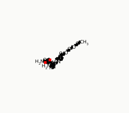 CCCOCCOCCOCCOCCC(=O)N1CCc2nc(Cn3nc(-c4ccc5oc(N)nc5c4)c4c(N)ncnc43)ncc2C1